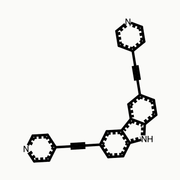 C(#Cc1ccc2[nH]c3ccc(C#Cc4ccncc4)cc3c2c1)c1ccncc1